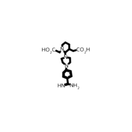 N=C(N)c1ccc(N2CCN(C3C(CC(=O)O)CCCN3CC(=O)O)CC2)cc1